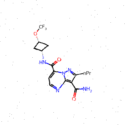 CCCc1nn2c(C(=O)N[C@H]3C[C@@H](OC(F)(F)F)C3)ccnc2c1C(N)=O